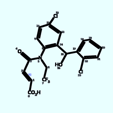 O=C(O)/C=C/C(=O)N(CC(F)(F)F)c1ccc(Cl)cc1C(O)c1ccccc1Cl